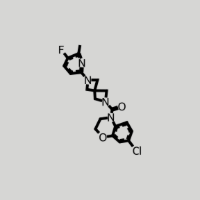 Cc1nc(N2CC3(CN(C(=O)N4CCOc5cc(Cl)ccc54)C3)C2)ccc1F